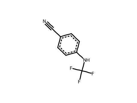 N#Cc1ccc(NC(F)(F)F)cc1